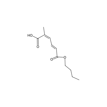 CCCCOC(=O)C=CC=C(C)C(=O)O